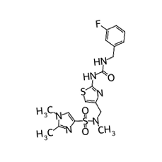 Cc1nc(S(=O)(=O)N(C)Cc2csc(NC(=O)NCc3cccc(F)c3)n2)cn1C